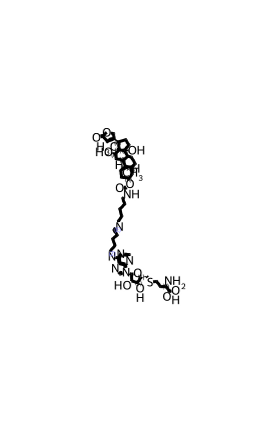 C[C@]12CC[C@@H](OC(=O)NCCCCC/N=C/CCC/C=N\c3ncnc4c3ncn4C3O[C@H](CSCC[C@H](N)C(=O)O)[C@@H](O)C3O)C[C@H]1CCC1[C@@H]2C[C@@H](O)[C@]2(C)[C@@H](C3=CC(=O)OC3)CC[C@]12O